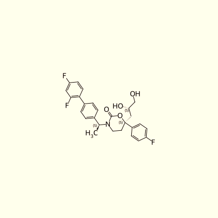 C[C@@H](c1ccc(-c2ccc(F)cc2F)cc1)N1CC[C@](C[C@H](O)CO)(c2ccc(F)cc2)OC1=O